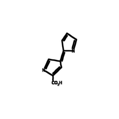 O=C(O)C1=CC(=C2C=CC=N2)C=N1